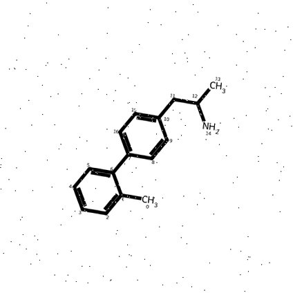 Cc1ccccc1-c1ccc(CC(C)N)cc1